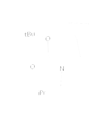 CC(C)CN(CC1CC1)C(=O)OC(C)(C)C